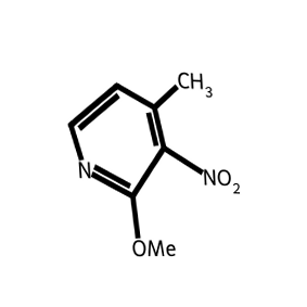 COc1nccc(C)c1[N+](=O)[O-]